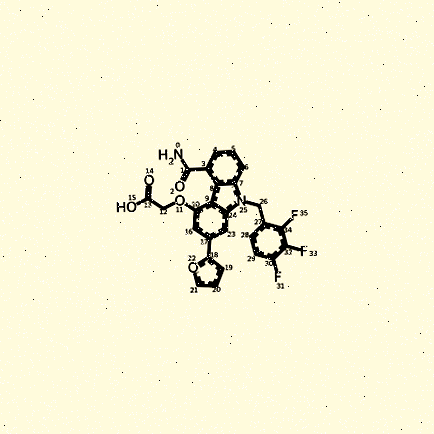 NC(=O)c1cccc2c1c1c(OCC(=O)O)cc(-c3ccco3)cc1n2Cc1ccc(F)c(F)c1F